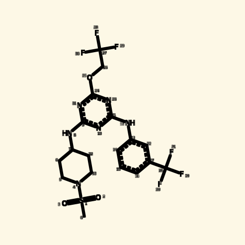 CS(=O)(=O)N1CCC(Nc2nc(Nc3cccc(C(F)(F)F)c3)nc(OCC(F)(F)F)n2)CC1